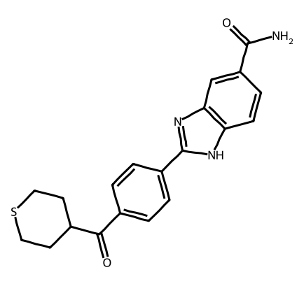 NC(=O)c1ccc2[nH]c(-c3ccc(C(=O)C4CCSCC4)cc3)nc2c1